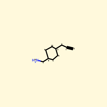 C#CCC1CCC(CN)CC1